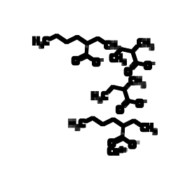 CCC(C)C(=O)[O-].CCC(C)C(=O)[O-].CCCCC(CC)C(=O)[O-].CCCCC(CC)C(=O)[O-].[Ce+4]